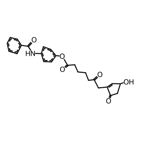 O=C(CCCCC(=O)Oc1ccc(NC(=O)c2ccccc2)cc1)CC1=CC(O)CC1=O